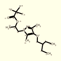 CCC(CC)COc1c(C)nn(CC(N)OC(=O)C(F)(F)F)c1C